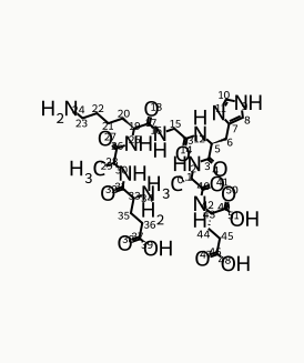 C[C@H](NC(=O)[C@H](Cc1c[nH]cn1)NC(=O)CNC(=O)[C@H](CCCCN)NC(=O)[C@H](C)NC(=O)[C@@H](N)CCC(=O)O)C(=O)N[C@@H](CCC(=O)O)C(=O)O